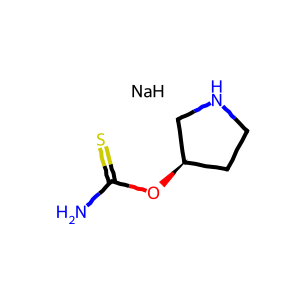 NC(=S)O[C@@H]1CCNC1.[NaH]